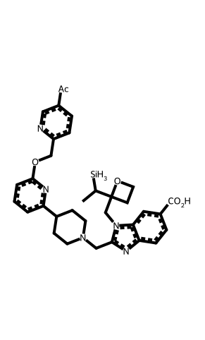 CC(=O)c1ccc(COc2cccc(C3CCN(Cc4nc5ccc(C(=O)O)cc5n4CC4(C(C)[SiH3])CCO4)CC3)n2)nc1